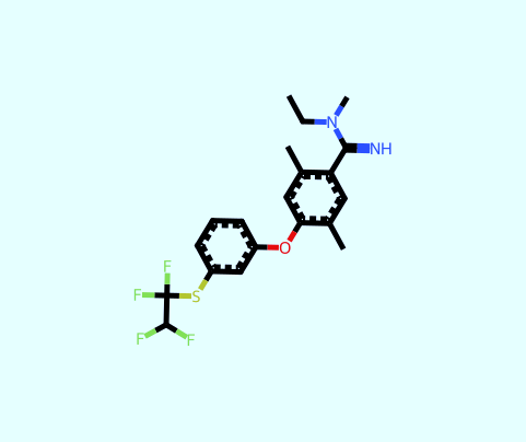 CCN(C)C(=N)c1cc(C)c(Oc2cccc(SC(F)(F)C(F)F)c2)cc1C